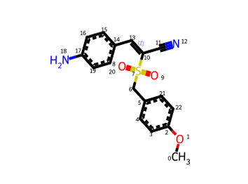 COc1ccc(CS(=O)(=O)/C(C#N)=C\c2ccc(N)cc2)cc1